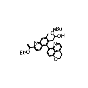 C=C(OCC)c1ccc2c(-c3ccc4c5c(ccnc35)CCO4)c(CC(O)OCCCC)c(C)cc2n1